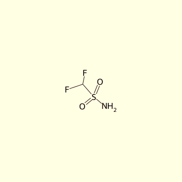 NS(=O)(=O)C(F)F